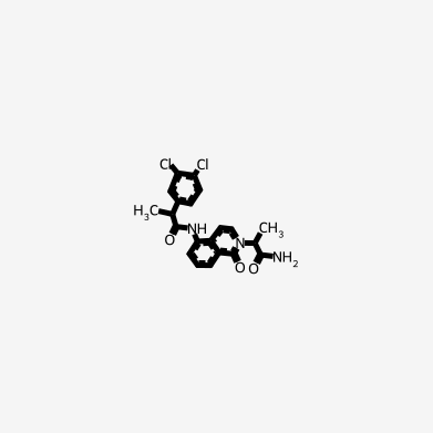 CC(C(=O)Nc1cccc2c(=O)n(C(C)C(N)=O)ccc12)c1ccc(Cl)c(Cl)c1